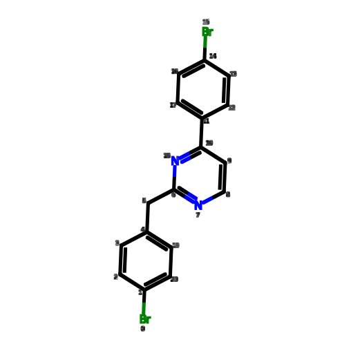 Brc1ccc(Cc2nccc(-c3ccc(Br)cc3)n2)cc1